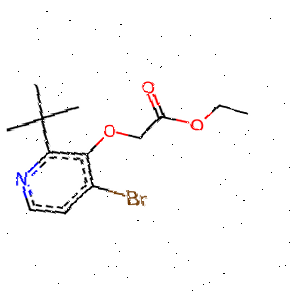 CCOC(=O)COc1c(Br)ccnc1C(C)(C)C